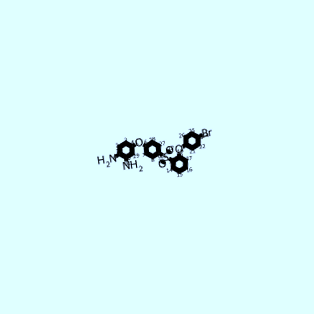 Nc1ccc(Oc2ccc(S(=O)(=O)c3ccccc3Oc3ccc(Br)cc3)cc2)cc1N